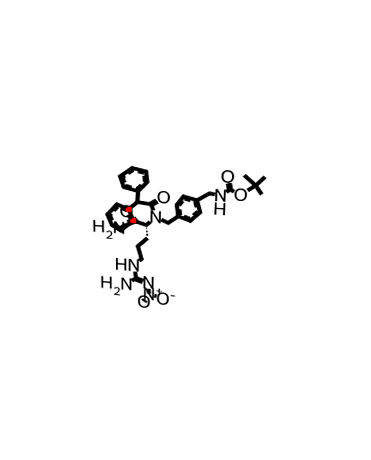 CC(C)(C)OC(=O)NCc1ccc(CN(C(=O)C(c2ccccc2)c2ccccc2)[C@H](CCCNC(N)=N[N+](=O)[O-])C(N)=O)cc1